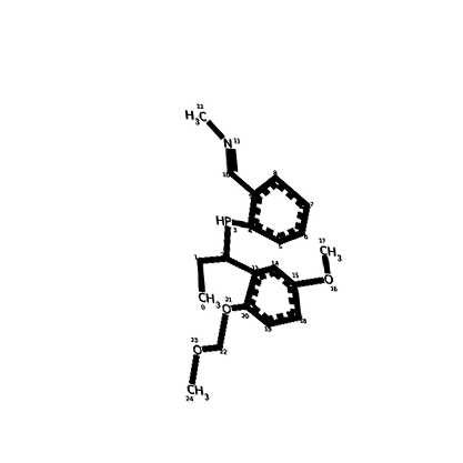 CCC(Pc1ccccc1/C=N/C)c1cc(OC)ccc1OCOC